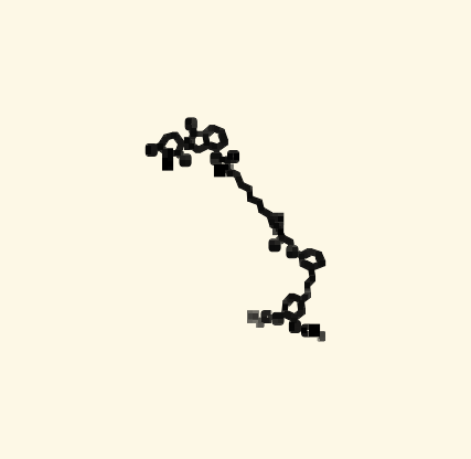 COc1ccc(CCCc2cccc(OCC(=O)NCCCCCCCCNC(=O)Oc3cccc4c3CN(C3CCC(=O)NC3=O)C4=O)c2)cc1OC